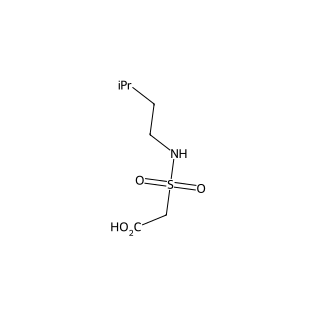 CC(C)CCNS(=O)(=O)CC(=O)O